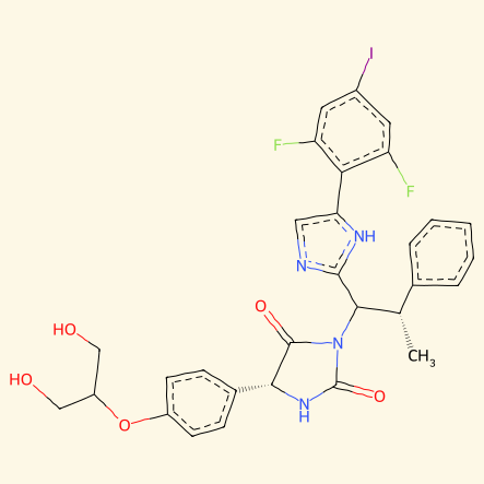 C[C@@H](c1ccccc1)C(c1ncc(-c2c(F)cc(I)cc2F)[nH]1)N1C(=O)N[C@H](c2ccc(OC(CO)CO)cc2)C1=O